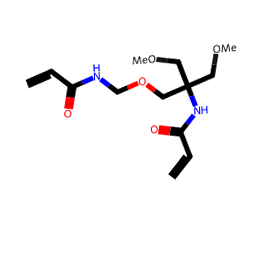 C=CC(=O)NCOCC(COC)(COC)NC(=O)C=C